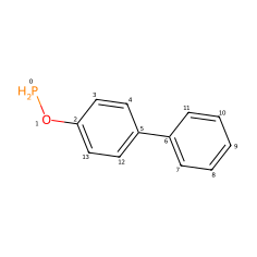 POc1ccc(-c2ccccc2)cc1